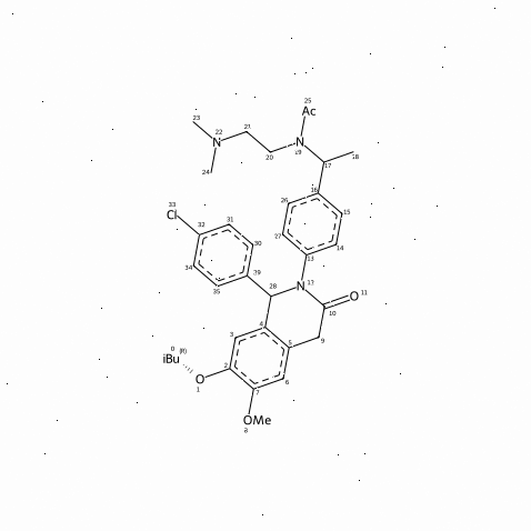 CC[C@@H](C)Oc1cc2c(cc1OC)CC(=O)N(c1ccc(C(C)N(CCN(C)C)C(C)=O)cc1)C2c1ccc(Cl)cc1